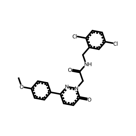 COc1ccc(-c2ccc(=O)n(CC(=O)NCc3cc(Cl)ccc3Cl)n2)cc1